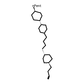 C=CCC[C@H]1CC[C@H](CCCCC2CCC([C@H]3CC[C@H](CCCCC)CC3)CC2)CC1